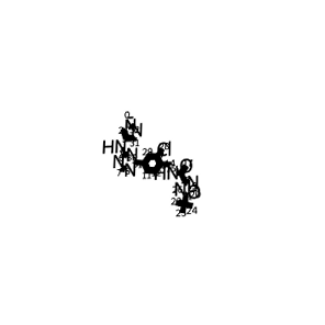 Cn1cc(Nc2ncnc(-c3ccc(CNC(=O)c4noc(C(C)(C)C)n4)c(Cl)c3)n2)cn1